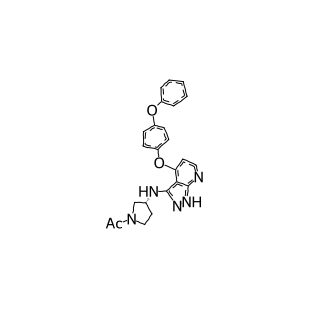 CC(=O)N1CC[C@@H](Nc2n[nH]c3nccc(Oc4ccc(Oc5ccccc5)cc4)c23)C1